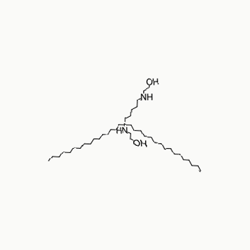 CCCCCCCCCCCCCCCCC(CCCCCCCCCCCCCCCC)(CCCCCNCCO)NCCO